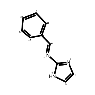 C(=Nc1ncc[nH]1)c1ccccc1